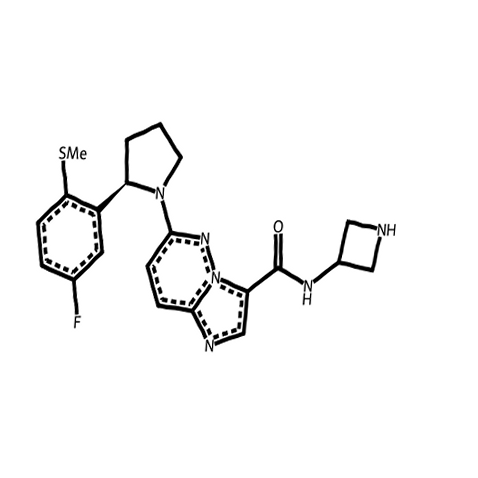 CSc1ccc(F)cc1[C@H]1CCCN1c1ccc2ncc(C(=O)NC3CNC3)n2n1